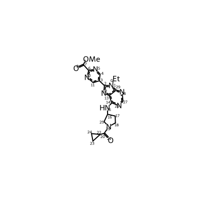 CCn1c(-c2cnc(C(=O)OC)nc2)nc2c(NC3CCN(C(=O)C4CC4)C3)ncnc21